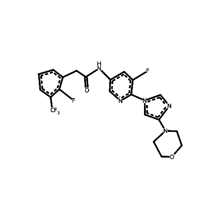 O=C(Cc1cccc(C(F)(F)F)c1F)Nc1cnc(-n2cnc(N3CCOCC3)c2)c(F)c1